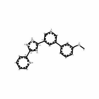 COc1cccc(-c2cncc(-c3nc(-c4ccccn4)no3)c2)c1